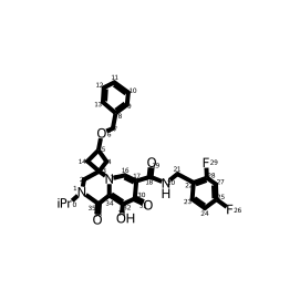 CC(C)N1CC2(CC(OCc3ccccc3)C2)n2cc(C(=O)NCc3ccc(F)cc3F)c(=O)c(O)c2C1=O